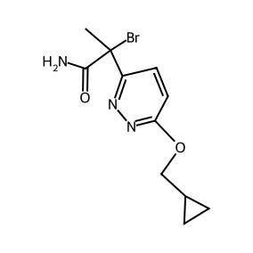 CC(Br)(C(N)=O)c1ccc(OCC2CC2)nn1